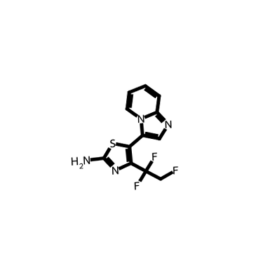 Nc1nc(C(F)(F)CF)c(-c2cnc3ccccn23)s1